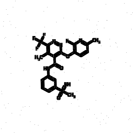 Cc1ccc(Oc2nnc(C(F)(F)F)c(C)c2C(=O)Nc2cccc(S(C)(=N)=O)c2)c(F)n1